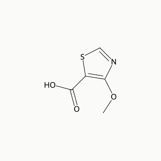 COc1ncsc1C(=O)O